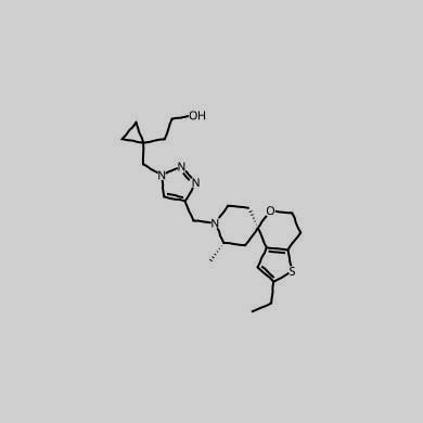 CCc1cc2c(s1)CCO[C@@]21CCN(Cc2cn(CC3(CCO)CC3)nn2)[C@@H](C)C1